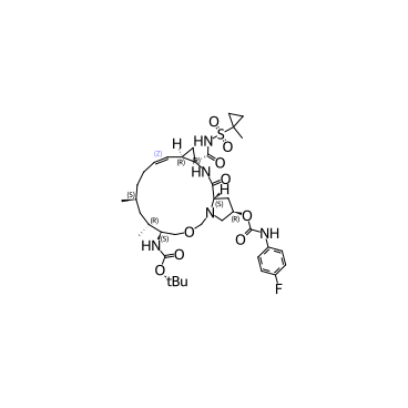 C[C@H]1CC/C=C\[C@H]2C[C@@]2(C(=O)NS(=O)(=O)C2(C)CC2)NC(=O)[C@@H]2C[C@@H](OC(=O)Nc3ccc(F)cc3)CN2COC[C@@H](NC(=O)OC(C)(C)C)[C@H](C)C1